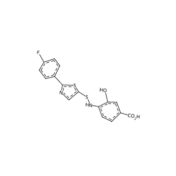 O=C(O)c1ccc(NSc2cnc(-c3ccc(F)cc3)s2)c(O)c1